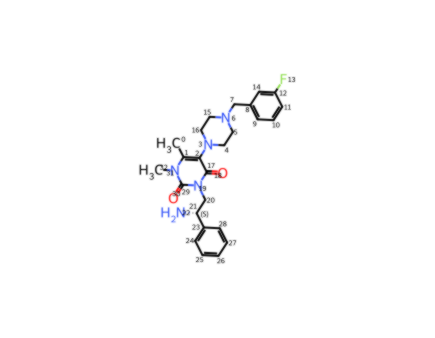 Cc1c(N2CCN(Cc3cccc(F)c3)CC2)c(=O)n(C[C@@H](N)c2ccccc2)c(=O)n1C